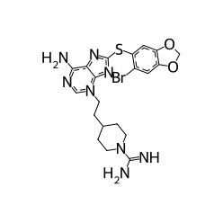 N=C(N)N1CCC(CCn2cnc(N)c3nc(Sc4cc5c(cc4Br)OCO5)nc2-3)CC1